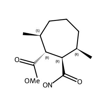 COC(=O)[C@H]1[C@H](C(=O)N=O)[C@H](C)CCC[C@@H]1C